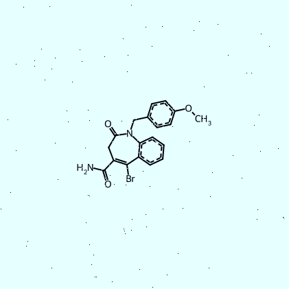 COc1ccc(CN2C(=O)CC(C(N)=O)=C(Br)c3ccccc32)cc1